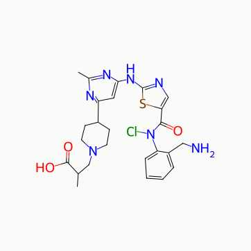 Cc1nc(Nc2ncc(C(=O)N(Cl)c3ccccc3CN)s2)cc(C2CCN(CC(C)C(=O)O)CC2)n1